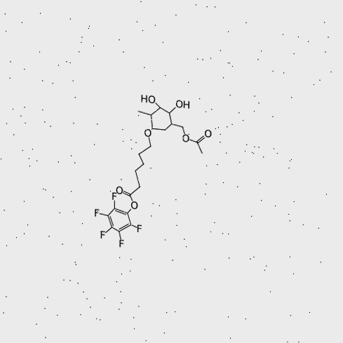 CC(=O)OCC1CC(OCCCCCC(=O)Oc2c(F)c(F)c(F)c(F)c2F)C(C)C(O)C1O